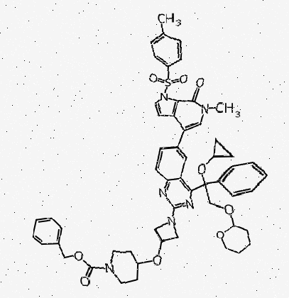 Cc1ccc(S(=O)(=O)n2ccc3c(-c4ccc5nc(N6CC(OC7CCN(C(=O)OCc8ccccc8)CC7)C6)nc(C(COC6CCCCO6)(OC6CC6)c6ccccc6)c5c4)cn(C)c(=O)c32)cc1